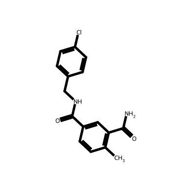 Cc1ccc(C(=O)NCc2ccc(Cl)cc2)cc1C(N)=O